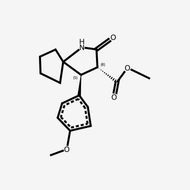 COC(=O)[C@H]1C(=O)NC2(CCCC2)[C@@H]1c1ccc(OC)cc1